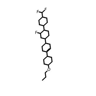 CCCOC1CCC(C2=CCC(C3CCC(C4CCC(C(F)F)CC4)C(F)C3)CC2)CC1